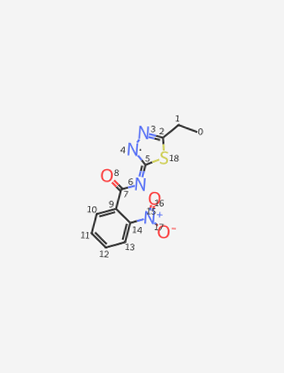 CCC1=N[N]C(=NC(=O)c2ccccc2[N+](=O)[O-])S1